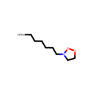 CCCCCCCCCCCCN1CCOO1